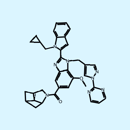 COc1cc(C(=O)N2CC3CC4CC2[C@H]43)cc2nc(-c3cc4ccccc4n3CC3CC3)n(Cc3cnn(-c4ncccn4)c3)c12